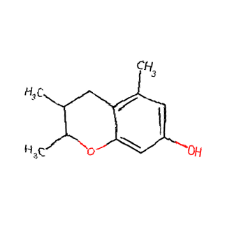 Cc1cc(O)cc2c1CC(C)C(C)O2